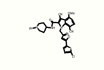 COc1ccc(C#N)c2c1c(C#N)c(C(=O)NC1CCN(C(C)C)CC1)n2Cc1cc(-c2ccc(Cl)s2)on1